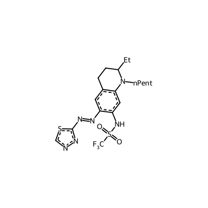 CCCCCN1c2cc(NS(=O)(=O)C(F)(F)F)c(N=Nc3nncs3)cc2CCC1CC